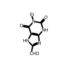 CCn1c(=O)[nH]c2nc(C=O)[nH]c2c1=O